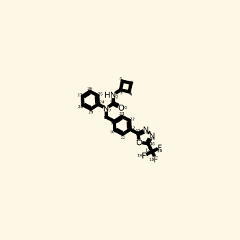 O=C(NC1CCC1)N(Cc1ccc(-c2nnc(C(F)(F)F)o2)cc1)c1ccccc1